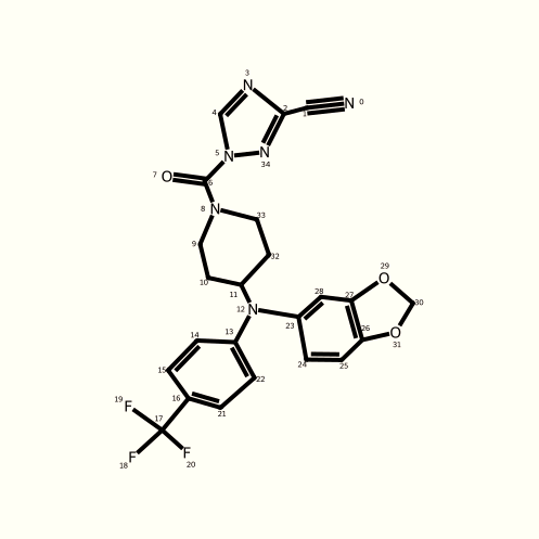 N#Cc1ncn(C(=O)N2CCC(N(c3ccc(C(F)(F)F)cc3)c3ccc4c(c3)OCO4)CC2)n1